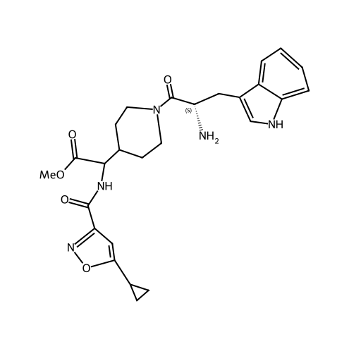 COC(=O)C(NC(=O)c1cc(C2CC2)on1)C1CCN(C(=O)[C@@H](N)Cc2c[nH]c3ccccc23)CC1